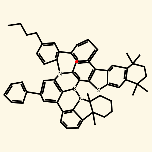 CCCCc1ccc(N2c3cc(-c4ccccc4)cc4c3B(c3c2ccc2c3sc3cc5c(cc32)C(C)(C)CCC5(C)C)N2c3c-4cccc3C3(C)CCCCC23C)c(-c2ccccc2)c1